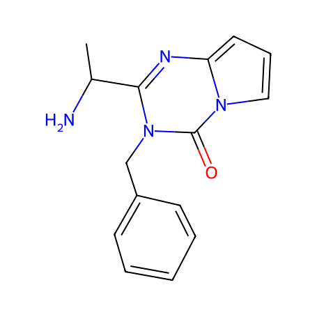 CC(N)c1nc2cccn2c(=O)n1Cc1ccccc1